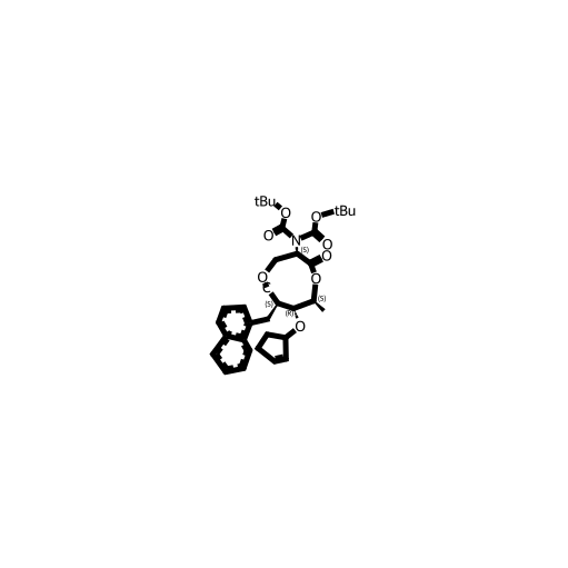 C[C@@H]1OC(=O)[C@@H](N(C(=O)OC(C)(C)C)C(=O)OC(C)(C)C)COC[C@H](Cc2cccc3ccccc23)[C@H]1OC1C=CCC1